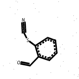 N#CSc1ccccc1C=O